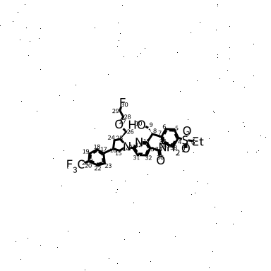 CCS(=O)(=O)c1ccc([C@@H](CO)c2nc(N3CC(c4ccc(C(F)(F)F)cc4)C[C@H]3COCCF)ccc2C(N)=O)cc1